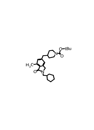 Cc1cc(CC2CCN(C(=O)OC(C)(C)C)CC2)cc2c1C(=O)N(CC1CCCCC1)C2